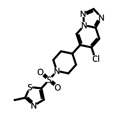 Cc1ncc(S(=O)(=O)N2CCC(c3cn4ncnc4cc3Cl)CC2)s1